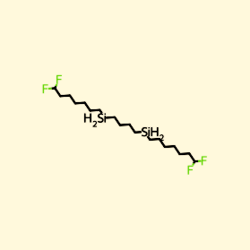 FC(F)CCCCCC[SiH2]CCCC[SiH2]CCCCCCC(F)F